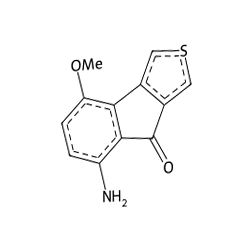 COc1ccc(N)c2c1-c1cscc1C2=O